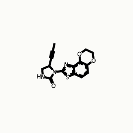 CC#CC1CNC(=O)N1c1nc2c3c(ccc2s1)OCCO3